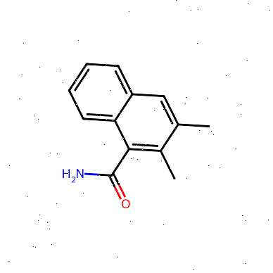 Cc1cc2ccccc2c(C(N)=O)c1C